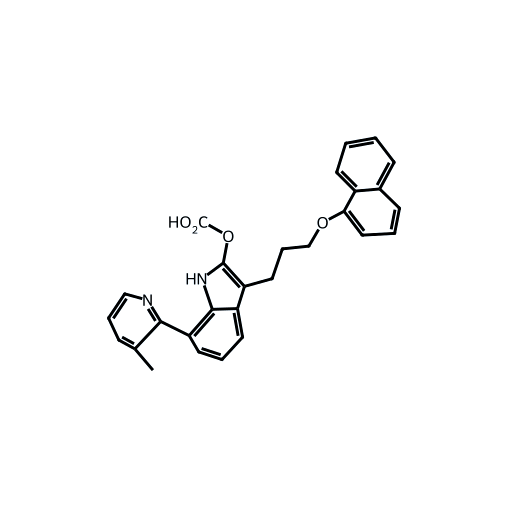 Cc1cccnc1-c1cccc2c(CCCOc3cccc4ccccc34)c(OC(=O)O)[nH]c12